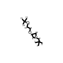 CC(C)(C)CN1CC(OCCOC(C)(C)C)C1